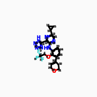 FC(F)(F)COc1c(Nc2ncc(C3CC3)nc2-c2nnn[nH]2)cccc1C1=CCOCC1